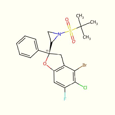 CC(C)(C)S(=O)(=O)N1CC1[C@@]1(c2ccccc2)Cc2c(cc(F)c(Cl)c2Br)O1